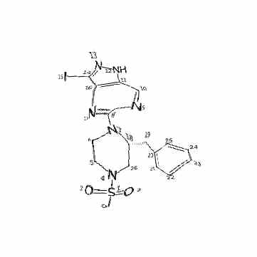 CS(=O)(=O)N1CCN(c2ncc3[nH]nc(I)c3n2)[C@H](Cc2ccccc2)C1